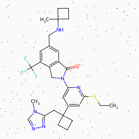 CCSc1cc(C2(Cc3nncn3C)CCC2)cc(N2Cc3c(cc(CNC4(C)CCC4)cc3C(F)(F)F)C2=O)n1